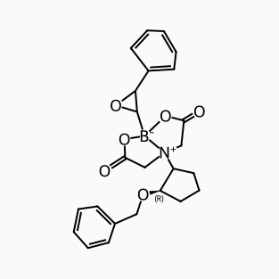 O=C1C[N+]2(C3CCC[C@H]3OCc3ccccc3)CC(=O)O[B-]2(C2OC2c2ccccc2)O1